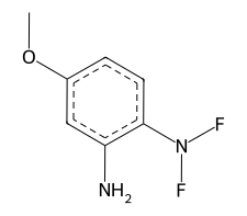 COc1ccc(N(F)F)c(N)c1